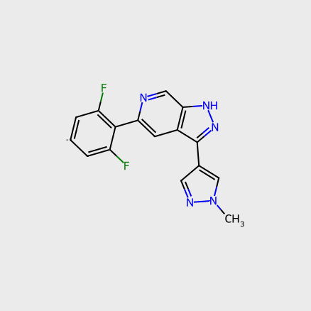 Cn1cc(-c2n[nH]c3cnc(-c4c(F)c[c]cc4F)cc23)cn1